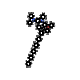 c1ccc(-c2ccc(-c3ccc(-c4ccc(-c5ccc(-c6ccc([Si](c7ccccc7)(c7ccccc7)c7cc(-n8c9ccccc9c9cc(-n%10c%11ccccc%11c%11ccccc%11%10)ccc98)cc8c7oc7ccccc78)cc6)cc5)cc4)cc3)cc2)cc1